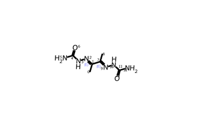 CC(=N\NC(N)=O)/C(C)=N/NC(N)=O